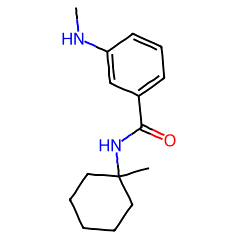 CNc1cccc(C(=O)NC2(C)CCCCC2)c1